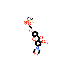 C[PH](=O)OCCOc1ccc2c(=O)c3c(O)cc(N4CCOCC4)cc3oc2c1